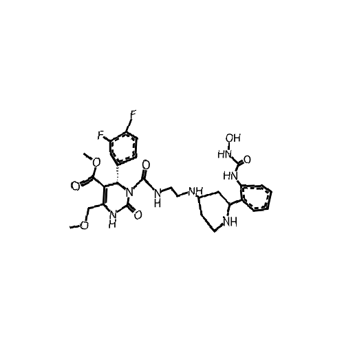 COCC1=C(C(=O)OC)[C@H](c2ccc(F)c(F)c2)N(C(=O)NCCNC2CCNC(c3ccccc3NC(=O)NO)C2)C(=O)N1